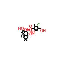 Cc1c(Cl)c(CO)cc(O)c1C(=O)OC[C@@H]1[C@@H](O)[C@@H]2CC(C)(C)C[C@@H]2[C@@]2(C)C[C@@H](O)[C@@]12O